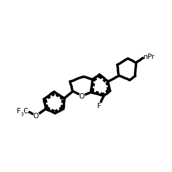 CCCC1CCC(c2cc(F)c3c(c2)CCC(c2ccc(OC(F)(F)F)cc2)O3)CC1